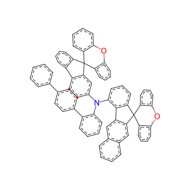 c1ccc(-c2ccc(-c3ccccc3N(c3ccc4c(c3)C3(c5ccccc5Oc5ccccc53)c3ccccc3-4)c3cccc4c3-c3cc5ccccc5cc3C43c4ccccc4Oc4ccccc43)cc2)cc1